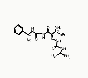 CCC[C@H](N)C(=NNC(=O)NC(P)P)C(=O)NCC(=O)N[C@H](C(C)=O)c1ccccc1